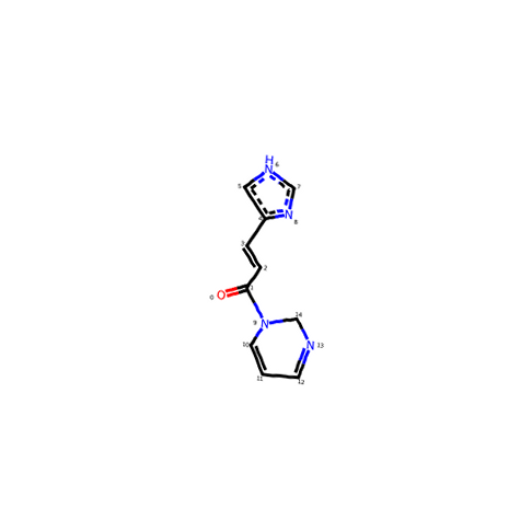 O=C(C=Cc1c[nH]cn1)N1C=CC=NC1